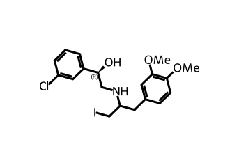 COc1ccc(CC(CI)NC[C@H](O)c2cccc(Cl)c2)cc1OC